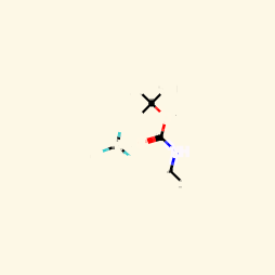 CC(C)(C)OC(=O)N[CH2][K].FB(F)F